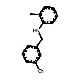 Cc1ccccc1NCc1cccc(C#N)c1